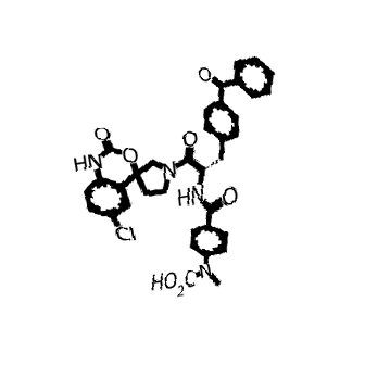 CN(C(=O)O)c1ccc(C(=O)N[C@@H](Cc2ccc(C(=O)c3ccccc3)cc2)C(=O)N2CCC3(C2)OC(=O)Nc2ccc(Cl)cc23)cc1